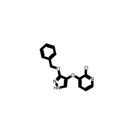 Clc1ncccc1Oc1c[nH]nc1OCc1ccccc1